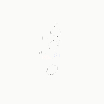 CC1=CC=CC(C(O)NC2C=CC(C)(C3(C)C=CC(C)CC3)CC2C)C=C1